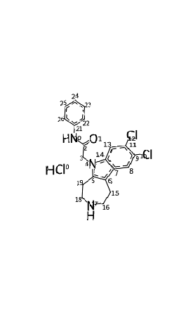 Cl.O=C(Cn1c2c(c3cc(Cl)c(Cl)cc31)CCNCC2)Nc1ccccc1